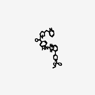 CCOC(=O)N1CC=C(c2cccn3nc(Nc4ccc(C(=O)N5CCC(Cc6ccccn6)C5)cc4)nc23)CC1